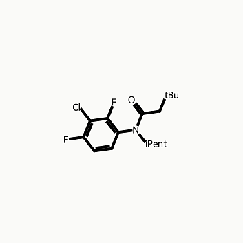 CCCC(C)N(C(=O)CC(C)(C)C)c1ccc(F)c(Cl)c1F